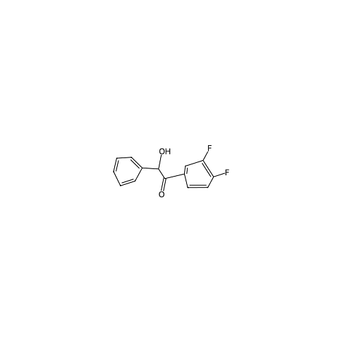 O=C(c1ccc(F)c(F)c1)C(O)c1ccccc1